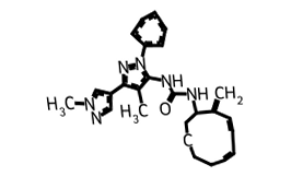 C=C1/C=C\C=C/CCCCC1NC(=O)Nc1c(C)c(-c2cnn(C)c2)nn1-c1ccccc1